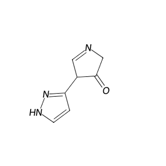 O=C1CN=CC1c1cc[nH]n1